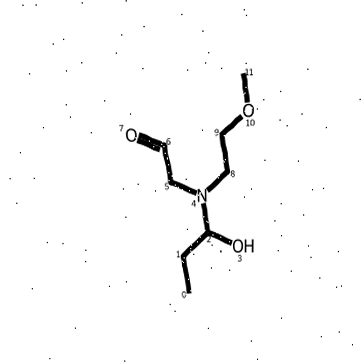 CCC(O)N(CC=O)CCOC